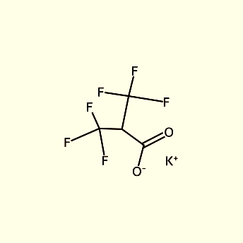 O=C([O-])C(C(F)(F)F)C(F)(F)F.[K+]